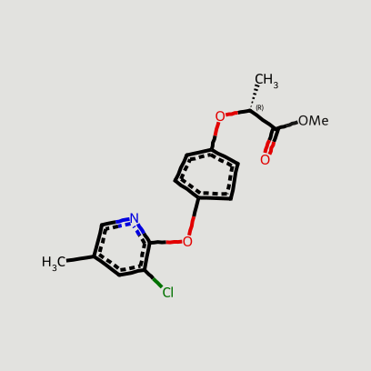 COC(=O)[C@@H](C)Oc1ccc(Oc2ncc(C)cc2Cl)cc1